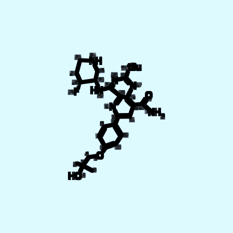 CC(C)(O)COc1ccc(-c2cc(C(N)=O)c3nc(C(C)(C)C)nc(N[C@@H]4CNCC[C@H]4F)c3n2)cc1